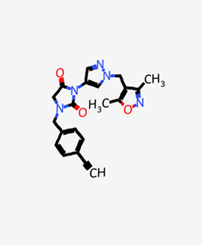 C#Cc1ccc(CN2CC(=O)N(c3cnn(Cc4c(C)noc4C)c3)C2=O)cc1